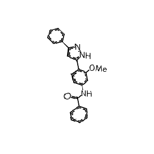 COc1cc(NC(=O)c2ccccc2)ccc1-c1cc(-c2ccccc2)n[nH]1